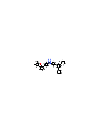 c1ccc(-c2cc(-c3ccccc3)cc(-c3ccc(Nc4ccc(-c5cccc6c5oc5ccccc56)cc4)cc3)c2)cc1